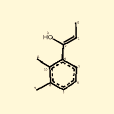 CC=C(O)c1cccc(C)c1C